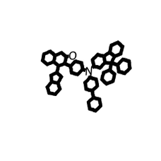 C1CCC(C2CCC(N(C3CCC4C(C3)OC3CC5CCCCC5C(C5CC6CCCCC6C5)C34)C3CCC4C5CCCCC5C(C5CCCCC5)(C5CCCCC5)C4C3)CC2)CC1